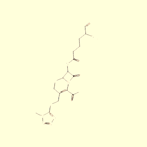 Cn1nnnc1SCC1=C(C(=O)O)N2C(=O)C(NC(=O)CCCC(N)C=O)[C@@H]2SC1